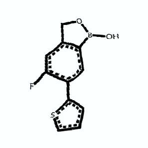 OB1OCc2cc(F)c(-c3cccs3)cc21